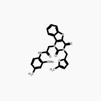 COc1cc(C)ccc1NC(=O)Cn1c(=O)n(Cc2ccc(C)o2)c(=O)c2sc3ccccc3c21